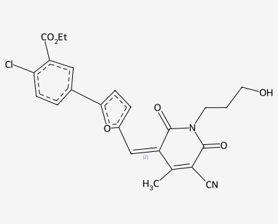 CCOC(=O)c1cc(-c2ccc(/C=C3\C(=O)N(CCCO)C(=O)C(C#N)=C3C)o2)ccc1Cl